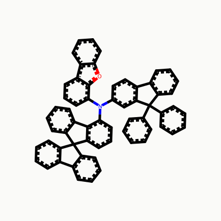 c1ccc(C2(c3ccccc3)c3ccccc3-c3ccc(N(c4cccc5c4-c4ccccc4C54c5ccccc5-c5ccccc54)c4cccc5c4oc4ccccc45)cc32)cc1